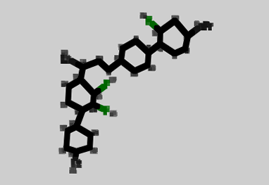 CCCC1CCC(C2CCC(CCC(CC)C3CCC(C4CCC(CC)CC4)C(F)C3F)CC2)C(F)C1